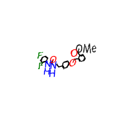 COC(=O)c1ccccc1COc1ccc(CCNC(=O)Nc2ccc(F)cc2F)cc1